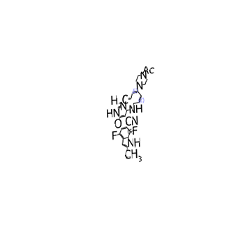 C=C/C=C(\C=C/CNC1=NCNC(OC2=C[C@H](F)C3NC(C)=CC3=C2F)=C1C#N)N1CCN(C(C)=O)CC1